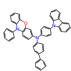 c1ccc(-c2ccc(N(c3ccc(-n4c5ccccc5c5ccccc54)cc3)c3ccc4c(c3)Oc3ccccc3N4c3ccccc3)cc2)cc1